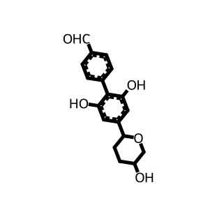 O=Cc1ccc(-c2c(O)cc(C3CCC(O)CO3)cc2O)cc1